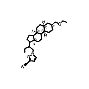 CCOC[C@H]1CC[C@@H]2C3CC[C@]4(C)C(C(CC)Cn5ccc(C#N)n5)CCC4[C@@H]3CC[C@@H]2C1